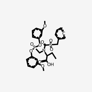 CCC(C(=O)O)N(CP(=O)(Oc1cccc(OC)c1)Oc1cccc(OC)c1)C(=O)S(=O)(=O)Cc1ccccc1